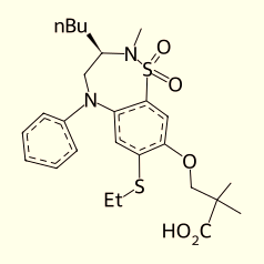 CCCC[C@@H]1CN(c2ccccc2)c2cc(SCC)c(OCC(C)(C)C(=O)O)cc2S(=O)(=O)N1C